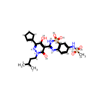 CC(C)CCn1nc(C2=CCCC2)c(O)c(C2=Nc3ccc(NS(C)(=O)=O)cc3S(=O)(=O)N2)c1=O